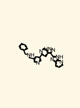 c1ccc(CNCc2cncc(-c3cc4c(-c5nc6cccnc6[nH]5)n[nH]c4cn3)c2)cc1